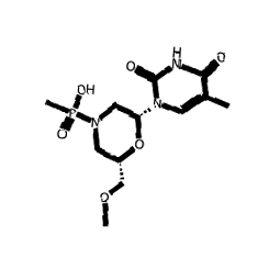 COC[C@@H]1CN(P(C)(=O)O)C[C@H](n2cc(C)c(=O)[nH]c2=O)O1